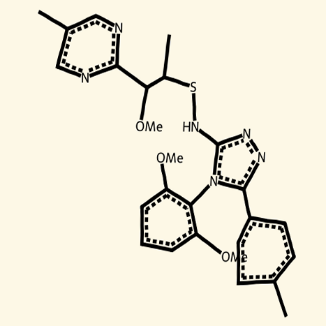 COc1cccc(OC)c1-n1c(NSC(C)C(OC)c2ncc(C)cn2)nnc1-c1ccc(C)cc1